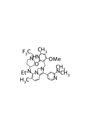 CCN(C1=C(C)C=CC2=C(c3ccnc(N(C)C)c3)N(Cc3c(OC)cc(C)[nH]c3=O)CN21)C1CCN(CC(F)(F)F)CC1